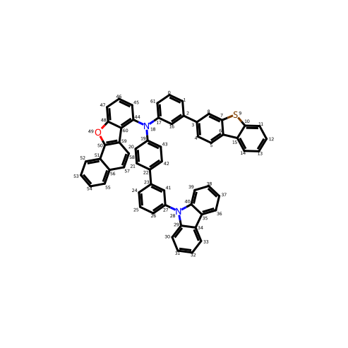 c1cc(-c2ccc3c(c2)sc2ccccc23)cc(N(c2ccc(-c3cccc(-n4c5ccccc5c5ccccc54)c3)cc2)c2cccc3oc4c5ccccc5ccc4c23)c1